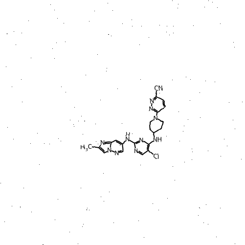 Cc1cn2ncc(Nc3ncc(Cl)c(NC4CCN(c5ccc(C#N)nn5)CC4)n3)cc2n1